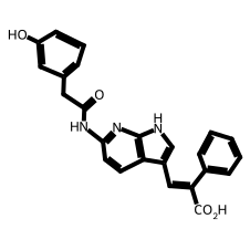 O=C(Cc1cccc(O)c1)Nc1ccc2c(C=C(C(=O)O)c3ccccc3)c[nH]c2n1